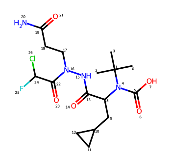 CC(C)(C)N(C(=O)O)C(CC1CC1)C(=O)NN(CCC(N)=O)C(=O)C(F)Cl